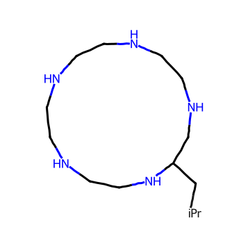 CC(C)CC1CNCCNCCNCCNCCN1